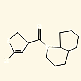 CCC1=CC(C(=O)N2CCCC3CCCCC32)CS1